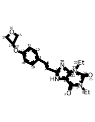 CCn1c(=O)c2[nH]c(C=Cc3ccc(OC4COC4)cc3)nc2n(CC)c1=O